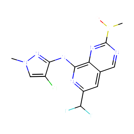 Cn1cc(Cl)c(Nc2nc(C(F)F)cc3cnc([S+](C)[O-])nc23)n1